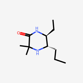 CCC[C@@H]1NC(C)(C)C(=O)N[C@H]1CC